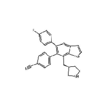 N#Cc1ccc(-c2c(-c3ccc(F)cc3)nc3cc[nH]c3c2C[C@H]2CCNC2)cc1